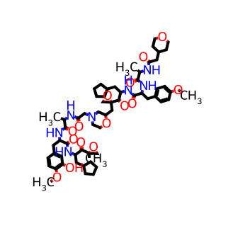 COc1ccc(CC(NC(=O)C(C)NC(=O)CC2CCOCC2)C(=O)NC(CC2CCCC2)C(=O)C2(CC3CN(CC(=O)NC(C)C(=O)NC(Cc4ccc(OC)c(O)c4)C(=O)NC(CC4CCCC4)C(=O)C4(C)CO4)CCO3)CO2)cc1